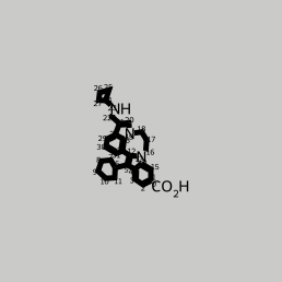 O=C(O)c1ccc2c(C3CCCCC3)c3n(c2c1)CCCn1cc(CNC2CCC2)c2cccc-3c21